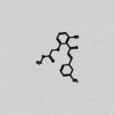 COC(=O)COc1cccc(O)c1C(=O)C=CC1C=CC=C(C)C1